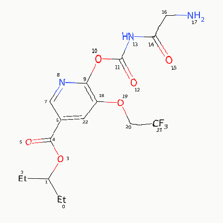 CCC(CC)OC(=O)c1cnc(OC(=O)NC(=O)CN)c(OCC(F)(F)F)c1